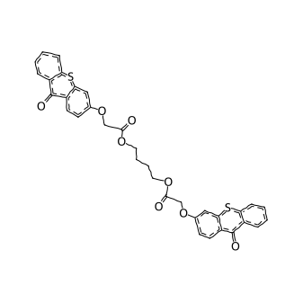 O=C(COc1ccc2c(=O)c3ccccc3sc2c1)OCCCCOC(=O)COc1ccc2c(=O)c3ccccc3sc2c1